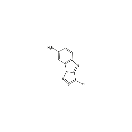 Bc1ccc2nc3n(c2c1)N=S=C3Cl